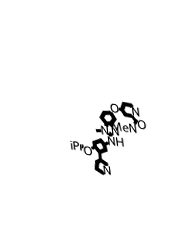 CNC(=O)c1cc(Oc2ccc3c(c2)nc(Nc2ccc(OC(C)C)c(-c4cccnc4)c2)n3C)ccn1